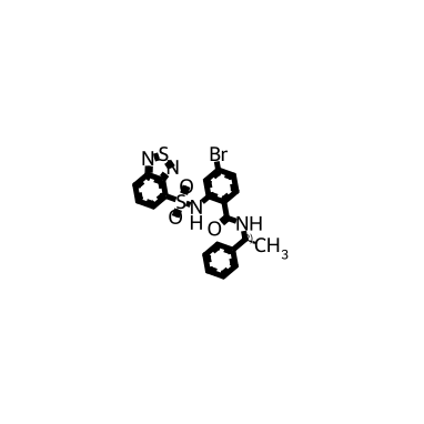 C[C@@H](NC(=O)c1ccc(Br)cc1NS(=O)(=O)c1cccc2nsnc12)c1ccccc1